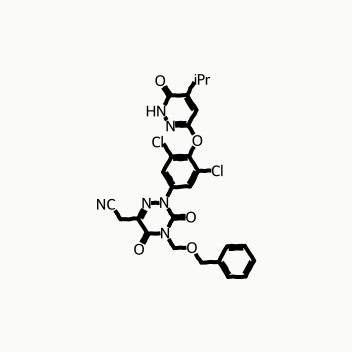 CC(C)c1cc(Oc2c(Cl)cc(-n3nc(CC#N)c(=O)n(COCc4ccccc4)c3=O)cc2Cl)n[nH]c1=O